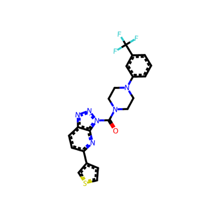 O=C(N1CCN(c2cccc(C(F)(F)F)c2)CC1)n1nnc2ccc(-c3ccsc3)nc21